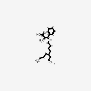 CCCCC(CCC)CCCCSC(c1ccccc1)C(C)C(=O)O